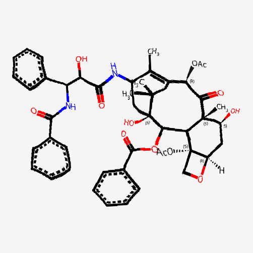 CC(=O)O[C@H]1C(=O)[C@@]2(C)C(C(OC(=O)c3ccccc3)[C@]3(O)CC(NC(=O)C(O)C(NC(=O)c4ccccc4)c4ccccc4)C(C)=C1C3(C)C)[C@]1(OC(C)=O)CO[C@@H]1C[C@@H]2O